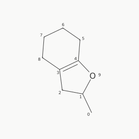 CC1CC2=C(CCCC2)O1